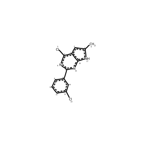 Cc1cc2c(Cl)nc(-c3cccc(Cl)c3)nc2[nH]1